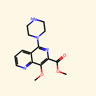 COC(=O)c1nc(N2CCNCC2)c2cccnc2c1OC